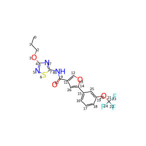 CCCOc1nsc(NC(=O)c2coc(-c3cccc(OC(F)(F)F)c3)c2)n1